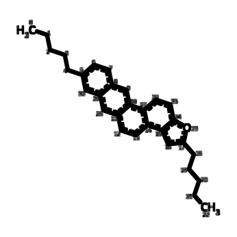 CCCCCc1ccc2cc3c(ccc4c5cc(CCCCC)oc5ccc34)cc2c1